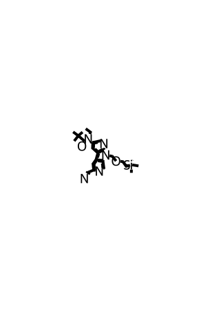 CCN(C(=O)C(C)(C)C)c1cnc2c(c1)c1cc(C#N)ncc1n2COCC[Si](C)(C)C